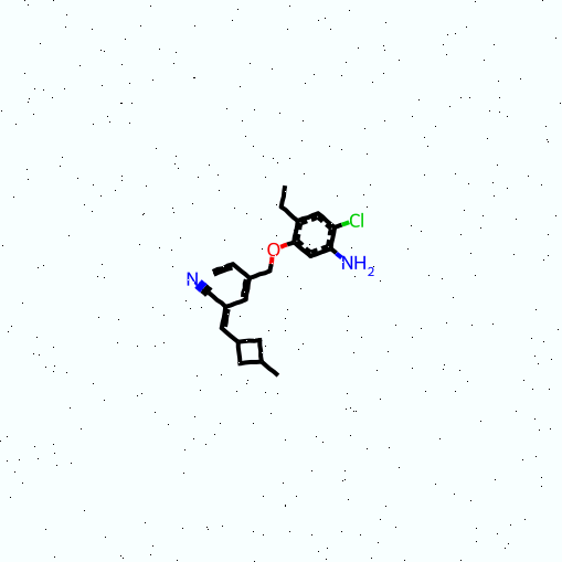 C=C/C(=C\C(C#N)=C/C1CC(C)C1)COc1cc(N)c(Cl)cc1CC